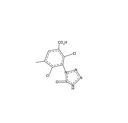 Cc1cc(C(=O)O)c(Cl)c(-n2nn[nH]c2=O)c1Cl